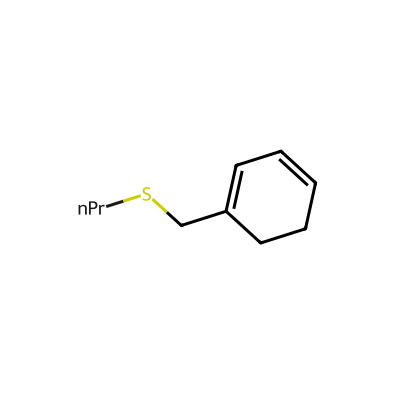 CCCSCC1=CC=CCC1